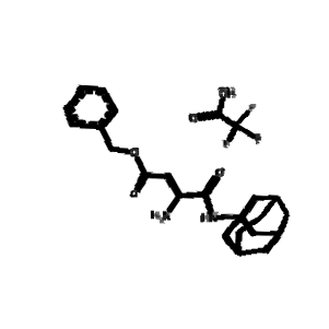 NC(CC(=O)OCc1ccccc1)C(=O)NC12CC3CC(CC(C3)C1)C2.O=C(O)C(F)(F)F